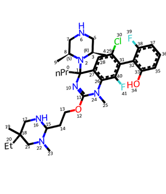 CCCC1(N2[C@H](C)CNC[C@@H]2C)N=C(OCCC2NCC(C)(CC)CN2C)N(C)c2c1cc(Cl)c(-c1c(O)cccc1F)c2F